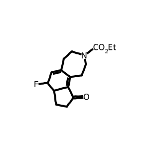 CCOC(=O)N1CCC2=CC(F)C3CCC(=O)C3=C2CC1